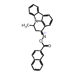 CC1C/C(=N\OC(=O)c2ccc3ccccc3c2)c2cccc3c4ccccc4n1c23